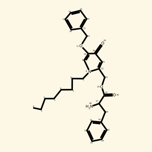 CCCCCCCCn1cc(OCc2ccccc2)c(=O)cc1COC(=O)C(N)Cc1ccccc1